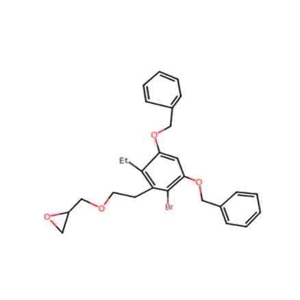 CCc1c(OCc2ccccc2)cc(OCc2ccccc2)c(Br)c1CCOCC1CO1